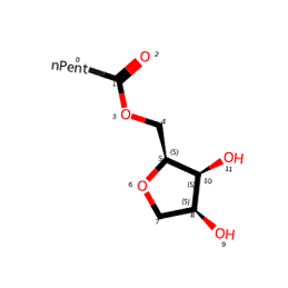 CCCCCC(=O)OC[C@@H]1OC[C@H](O)[C@@H]1O